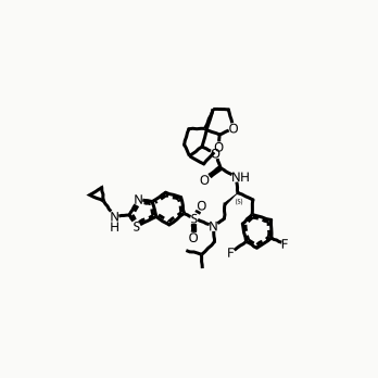 CC(C)CN(CC[C@H](Cc1cc(F)cc(F)c1)NC(=O)OC1C2CCC3C(OC2)OCC31)S(=O)(=O)c1ccc2nc(NC3CC3)sc2c1